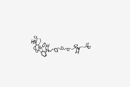 O=C(CCOCCOCCOCCNc1cccc2c1C(=O)N(C1CCC(=O)NC1=O)C2=O)NCCNCl